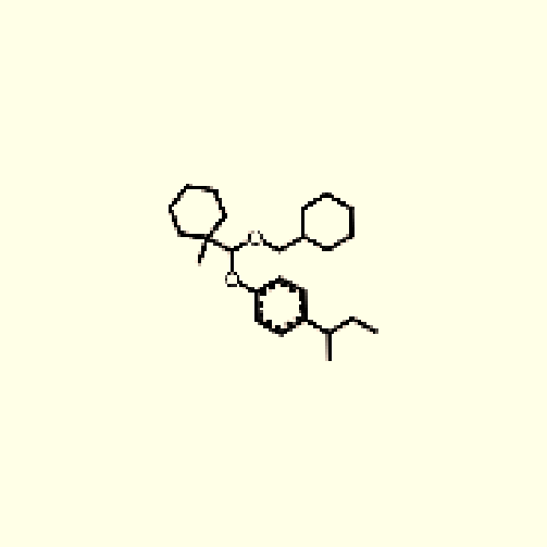 CCC(C)c1ccc(OC(OCC2CCCCC2)C2(C)CCCCC2)cc1